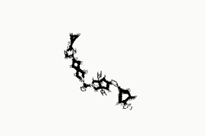 O=C(N1C[C@H]2CC(Oc3ccc(C(F)(F)F)c(F)c3)C[C@H]2C1)N1CC2(CC(n3cnc(C4CC4)n3)C2)C1